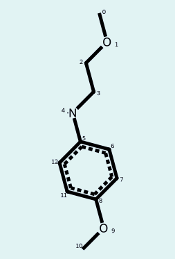 COCC[N]c1ccc(OC)cc1